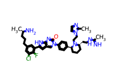 CC(=N)NCC[C@@H]1CCC[C@@H](c2ccc(-n3cc4cc(-c5cc(CCC[C@H](C)N)cc(Cl)c5F)[nH]c4nc3=O)cc2)N1CCn1ccnc1C